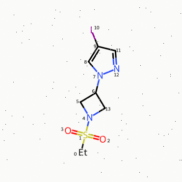 CCS(=O)(=O)N1CC(n2cc(I)cn2)C1